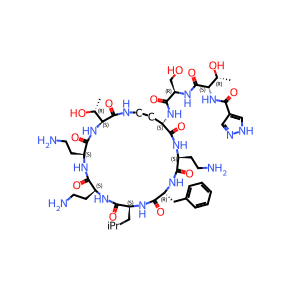 CC(C)C[C@@H]1NC(=O)[C@@H](Cc2ccccc2)NC(=O)[C@H](CCN)NC(=O)[C@@H](NC(=O)[C@@H](CO)NC(=O)[C@@H](NC(=O)c2cn[nH]c2)[C@@H](C)O)CCNC(=O)[C@H]([C@@H](C)O)NC(=O)[C@H](CCN)NC(=O)[C@H](CCN)NC1=O